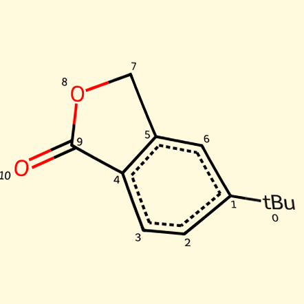 CC(C)(C)c1ccc2c(c1)COC2=O